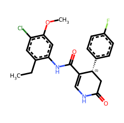 CCc1cc(Cl)c(OC)cc1NC(=O)C1=CNC(=O)C[C@H]1c1ccc(F)cc1